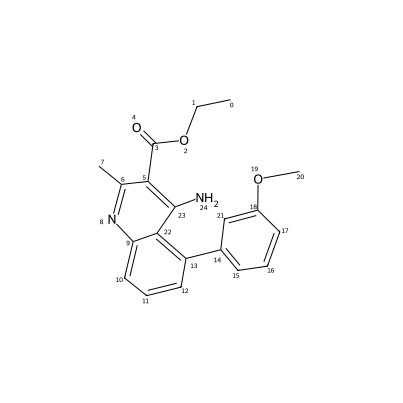 CCOC(=O)c1c(C)nc2cccc(-c3cccc(OC)c3)c2c1N